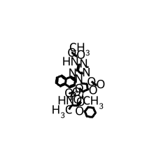 COC(=O)Nc1ncnc2c1ncn2[C@@H]1O[C@H](C(C)OP(=O)(NC(C)C(=O)OC2CCCCC2)Oc2cccc3ccccc23)C2OC(=O)OC21